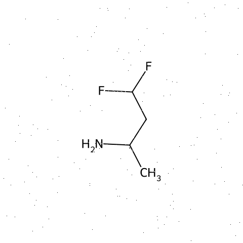 C[C](N)CC(F)F